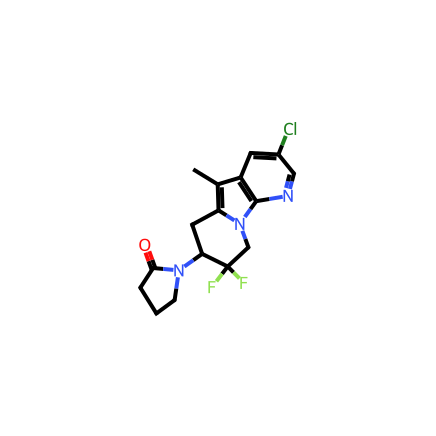 Cc1c2n(c3ncc(Cl)cc13)CC(F)(F)C(N1CCCC1=O)C2